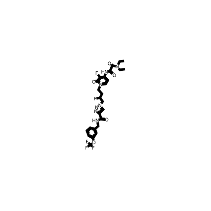 CCN(CC)C(=O)C(=O)Nc1ccn(CCC(F)Cn2cc(C(=O)NCc3cccc(OC(F)(F)F)c3)nn2)c(=O)c1F